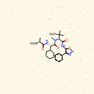 CN[C@@H](C)C(=O)N[C@H](C(=O)N(C)[C@H](C(=O)Nc1snnc1-c1ccccc1)C(C)(C)SC)C1CCCCC1